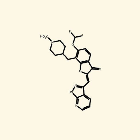 O=C1C(=Cc2n[nH]c3ncccc23)Oc2c1ccc(OC(F)F)c2CC1CCN(C(=O)O)CC1